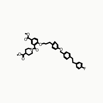 COC(=O)c1ccc(OCCCc2ccc(OCc3ccc(CCc4ccc(F)cc4)cc3)cc2)c(C(=O)N2CCC(C(=O)OC)CC2)c1